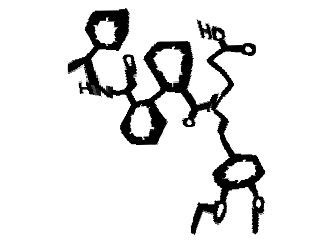 CCOc1cc(CCN(CCC(=O)O)C(=O)c2ccccc2-c2ccccc2C(=O)NC(C)c2ccccc2)ccc1OC